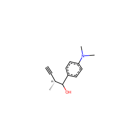 C#C[C@@H](C)C(O)c1ccc(N(C)C)cc1